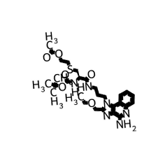 CCOCc1nc2c(N)nc3ccccc3c2n1CCCNC(=O)[C@H](CSCCOC(C)=O)NC(=O)OC(C)(C)C